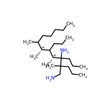 CCCCCC(C)[C@@H](C)C(CCC)[C@@H](C)C(N)(CCC)C(C)(CN)CCC